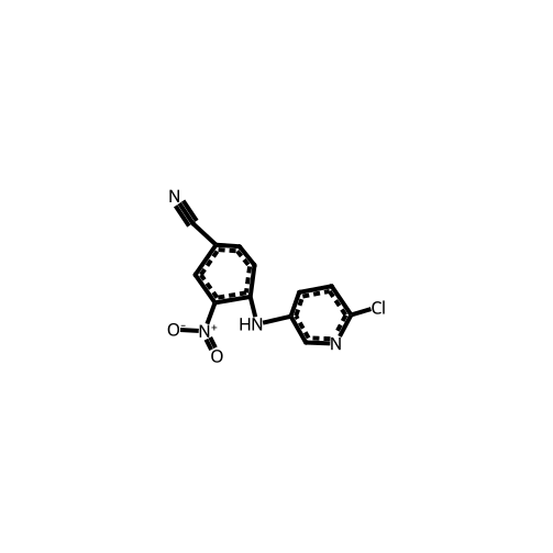 N#Cc1ccc(Nc2ccc(Cl)nc2)c([N+](=O)[O-])c1